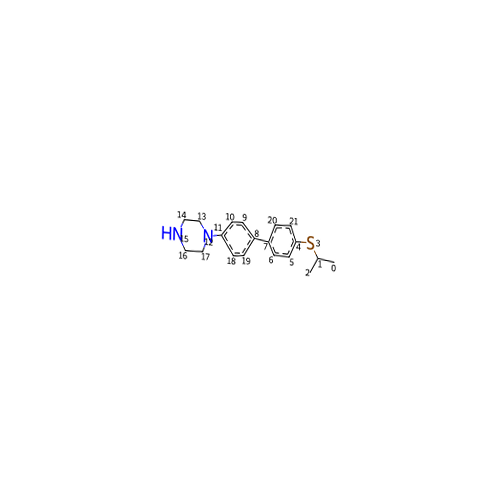 CC(C)Sc1ccc(-c2ccc(N3CCNCC3)cc2)cc1